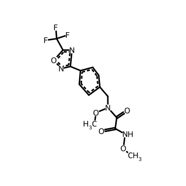 CONC(=O)C(=O)N(Cc1ccc(-c2noc(C(F)(F)F)n2)cc1)OC